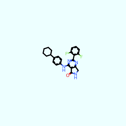 O=C1NCc2nc(-c3c(F)cccc3F)nc(Nc3ccc(C4CCCCC4)cc3)c21